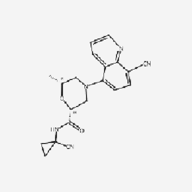 C[C@@H]1CN(c2ccc(C#N)c3ncccc23)C[C@H](C(=O)NC2(C#N)CC2)O1